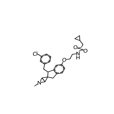 CN1C2C1C21Cc2ccc(OCCNS(=O)(=O)CC3CC3)cc2C1Cc1cccc(Cl)c1